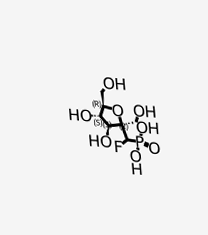 O=P(O)(O)C(F)[C@]1(CO)O[C@H](CO)[C@@H](O)[C@@H]1O